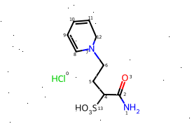 Cl.NC(=O)C(CCN1C=CC=CC1)S(=O)(=O)O